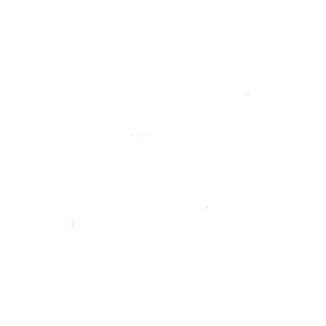 O=C(O)C1c2cc(Br)ccc2Oc2ccc(Br)cc21